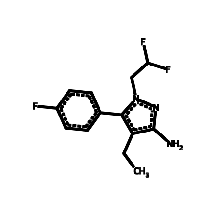 CCc1c(N)nn(CC(F)F)c1-c1ccc(F)cc1